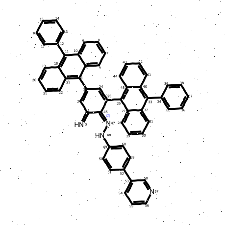 N=C1C=C(c2c3ccccc3c(-c3ccccc3)c3ccccc23)C=C(c2c3ccccc3c(-c3ccccc3)c3ccccc23)/C1=N/Nc1ccc(-c2cccnc2)cc1